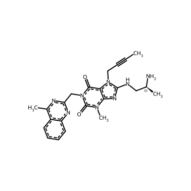 CC#CCn1c(NC[C@H](C)N)nc2c1c(=O)n(Cc1nc(C)c3ccccc3n1)c(=O)n2C